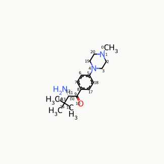 CN1CCN(c2ccc(C(=O)[C@@H](N)C(C)(C)C)cc2)CC1